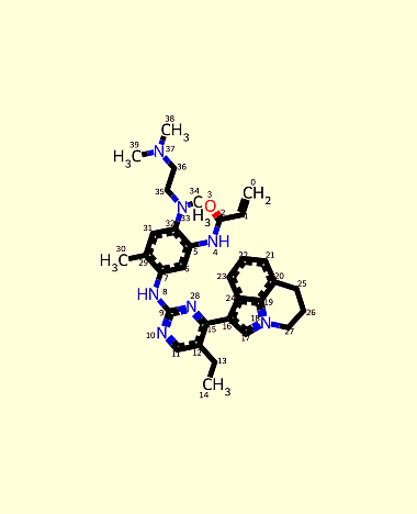 C=CC(=O)Nc1cc(Nc2ncc(CC)c(-c3cn4c5c(cccc35)CCC4)n2)c(C)cc1N(C)CCN(C)C